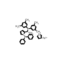 Cc1cc(C)cc(P(c2cc(C)cc(C)c2)[C@H](C)c2ccc[c-]2P(c2ccccc2)c2ccccc2)c1.[Fe+2].c1cc[cH-]c1